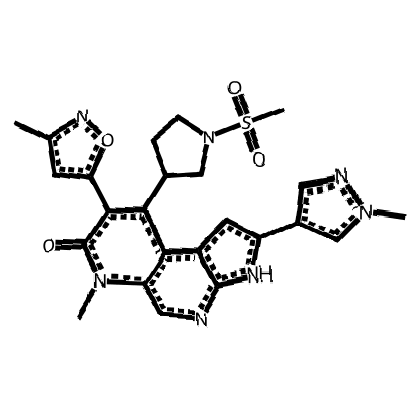 Cc1cc(-c2c(C3CCN(S(C)(=O)=O)C3)c3c4cc(-c5cnn(C)c5)[nH]c4ncc3n(C)c2=O)on1